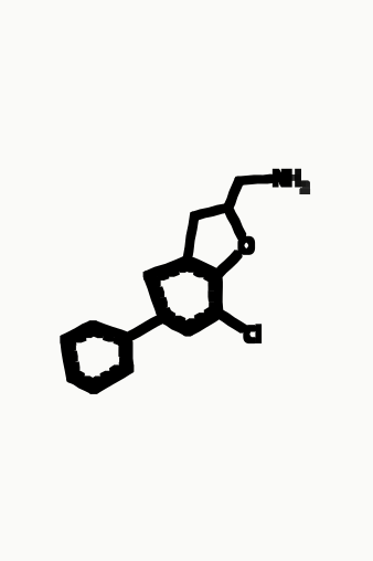 NCC1Cc2cc(-c3ccccc3)cc(Cl)c2O1